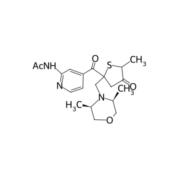 CC(=O)Nc1cc(C(=O)C2(CN3[C@H](C)COC[C@@H]3C)CC(=O)C(C)S2)ccn1